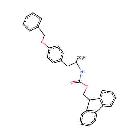 O=C(NC(Cc1ccc(OCc2ccccc2)cc1)C(=O)O)OCC1c2ccccc2-c2ccccc21